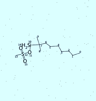 CCCCCCCC(C)(C)[SiH2]OS(C)(=O)=O